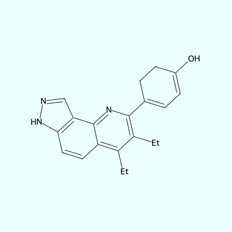 CCc1c(C2=CC=C(O)CC2)nc2c(ccc3[nH]ncc32)c1CC